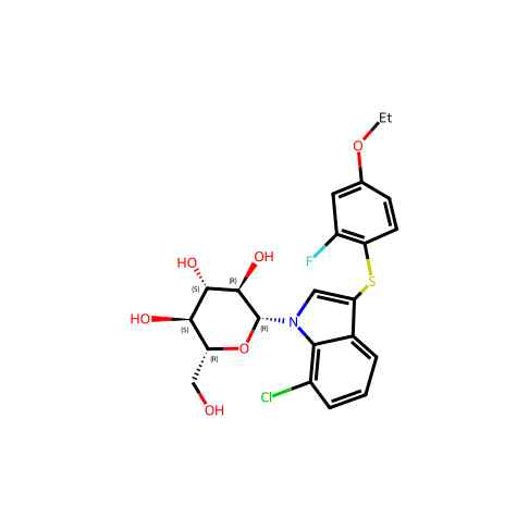 CCOc1ccc(Sc2cn([C@@H]3O[C@H](CO)[C@@H](O)[C@H](O)[C@H]3O)c3c(Cl)cccc23)c(F)c1